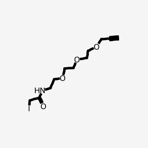 C#CCOCCOCCOCCNC(=O)CI